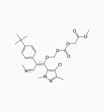 C/N=C\C(=C(\OCOC(=O)OCC(=O)OC)c1c(Cl)c(C)nn1C)c1ccc(C(C)(C)C)cc1